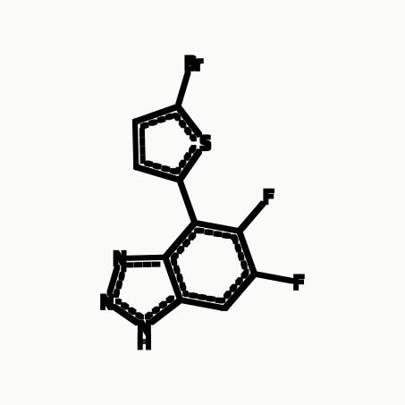 Fc1cc2[nH]nnc2c(-c2ccc(Br)s2)c1F